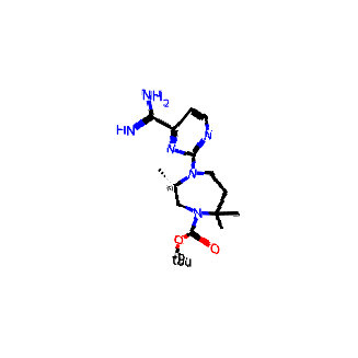 C[C@H]1CN(C(=O)OC(C)(C)C)C(C)(C)CCN1c1nccc(C(=N)N)n1